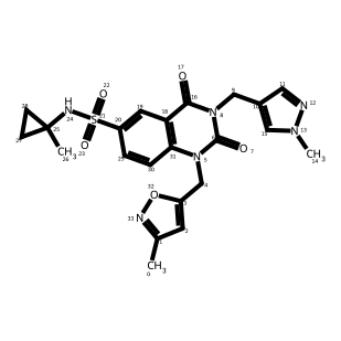 Cc1cc(Cn2c(=O)n(Cc3cnn(C)c3)c(=O)c3cc(S(=O)(=O)NC4(C)CC4)ccc32)on1